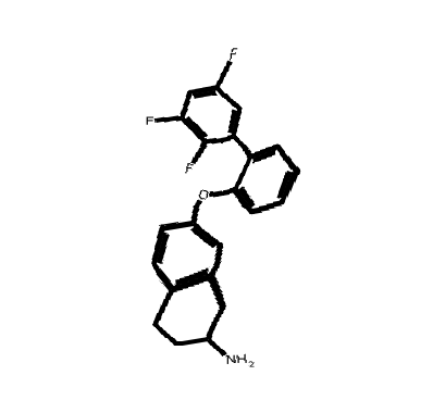 NC1CCc2ccc(Oc3ccccc3-c3cc(F)cc(F)c3F)cc2C1